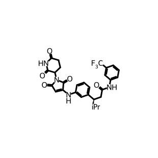 CC(C)[C@H](CC(=O)Nc1cccc(C(F)(F)F)c1)c1cccc(NC2=CC(=O)N(C3CCC(=O)NC3=O)C2=O)c1